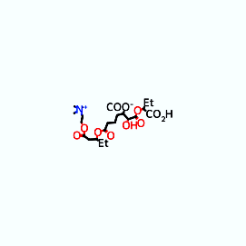 CCC(CC(=O)OCC[N+](C)(C)C)OC(=O)CCCC(C(=O)[O-])C(O)C(=O)OC(CC)C(=O)O